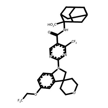 O=C(NC1(C(=O)O)C2CC3CC(C2)CC1C3)c1cnc(N2CC3(CCOCC3)c3cc(OCC(F)(F)F)ccc32)nc1C(F)(F)F